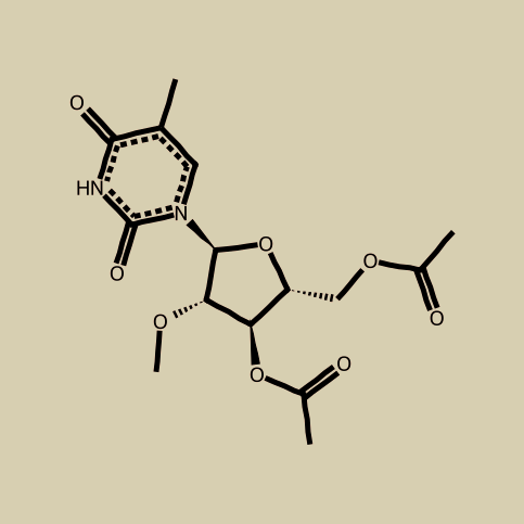 CO[C@H]1[C@H](OC(C)=O)[C@@H](COC(C)=O)O[C@@H]1n1cc(C)c(=O)[nH]c1=O